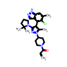 C=CC(=O)N1CCC(n2nc(N3CCCC3(C)C)c(-c3c(Cl)c(C)cc4[nH]ncc34)c2C)CC1